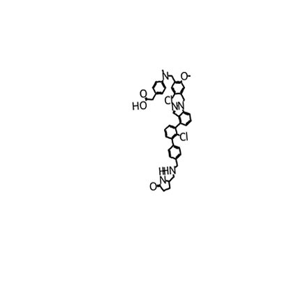 COc1cc(Cn2ncc3c(-c4cccc(-c5ccc(CNCC6CCC(=O)N6)cc5)c4Cl)cccc32)c(Cl)cc1CN(C)c1ccc(CC(=O)O)cc1